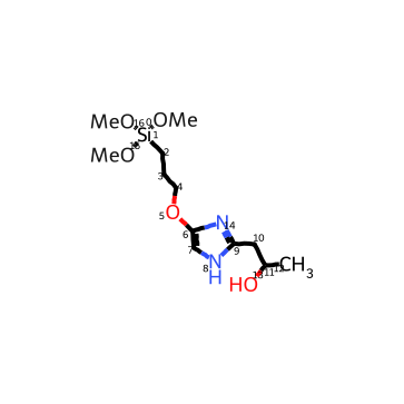 CO[Si](CCCOc1c[nH]c(CC(C)O)n1)(OC)OC